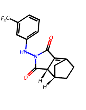 O=C1C2=C3CC[C@@H](C3)[C@@H]2C(=O)N1Nc1cccc(C(F)(F)F)c1